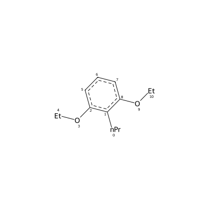 CCCc1c(OCC)cccc1OCC